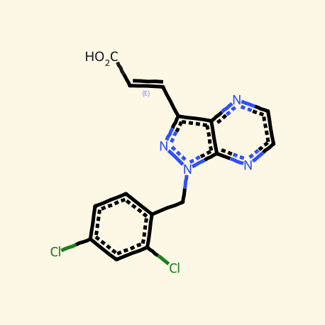 O=C(O)/C=C/c1nn(Cc2ccc(Cl)cc2Cl)c2nccnc12